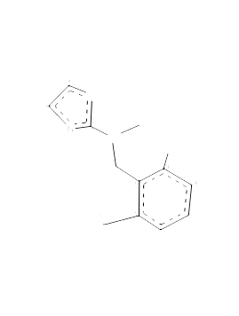 [O-][S+](Cc1c(Cl)cccc1Cl)c1ncco1